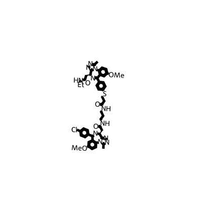 CCNC(=O)C[C@@H]1N=C(c2ccc(SCCC(=O)NCCCNC(=O)C[C@@H]3N=C(c4ccc(Cl)cc4)c4cc(OC)ccc4-n4c(C)nnc43)cc2)c2cc(OC)ccc2-n2c(C)nnc21